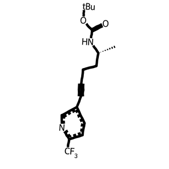 C[C@H](CCC#Cc1ccc(C(F)(F)F)nc1)NC(=O)OC(C)(C)C